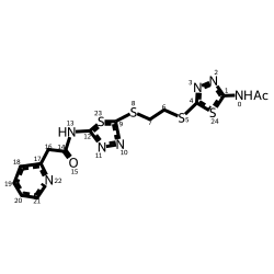 CC(=O)Nc1nnc(SCCSc2nnc(NC(=O)Cc3ccccn3)s2)s1